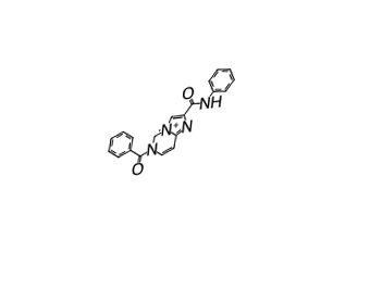 O=C(Nc1ccccc1)C1=C[N+]2CN(C(=O)c3ccccc3)C=CC2=N1